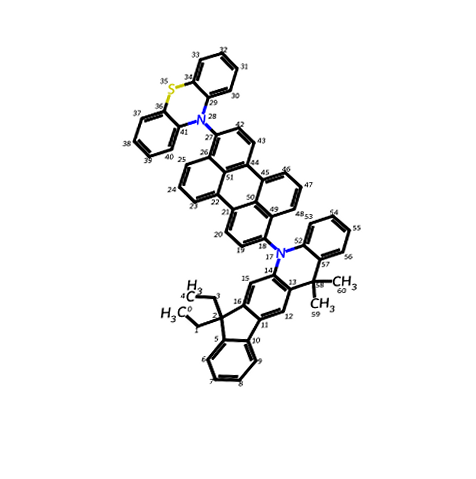 CCC1(CC)c2ccccc2-c2cc3c(cc21)N(c1ccc2c4cccc5c(N6c7ccccc7Sc7ccccc76)ccc(c6cccc1c62)c54)c1ccccc1C3(C)C